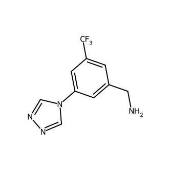 NCc1cc(-n2cnnc2)cc(C(F)(F)F)c1